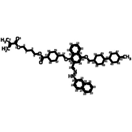 C=C(C)C(=O)OCCCCOC(=O)C1CCC(COc2c(/C=N/Nc3ccc4ccccc4c3)cc(OCC3CCC(C4CCC(C)CC4)CC3)c3ccccc23)CC1